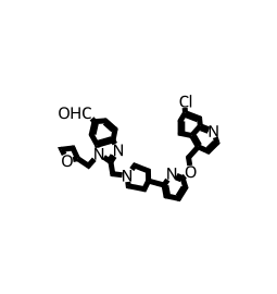 O=Cc1ccc2nc(CN3CCC(c4cccc(OCc5ccnc6cc(Cl)ccc56)n4)CC3)n(CC3CCO3)c2c1